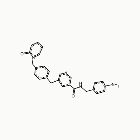 Nc1ccc(CNC(=O)c2cncc(Cc3ccc(Cn4ccccc4=O)cc3)c2)cc1